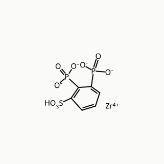 O=P([O-])([O-])c1cccc(S(=O)(=O)O)c1P(=O)([O-])[O-].[Zr+4]